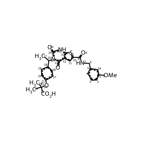 COc1cccc(CNC(=O)c2cc3c(=O)n(C(C)c4ccc(OC(C)(C)C(=O)O)cc4)c(=O)[nH]c3s2)c1